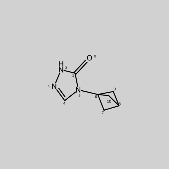 O=c1[nH]ncn1C12CC(C1)C2